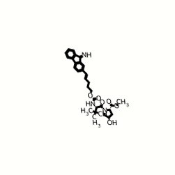 COC(=O)[C@@H]1C[C@@H](O)CN1C(=O)[C@@H](NC(=O)OCCC/C=C/c1ccc2c(c1)C(=N)c1ccccc1-2)C(C)(C)C